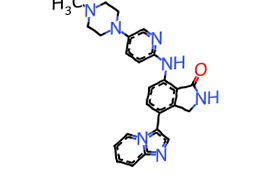 CN1CCN(c2ccc(Nc3ccc(-c4cnc5ccccn45)c4c3C(=O)NC4)nc2)CC1